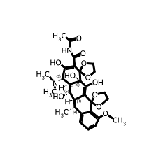 COc1cccc2c1C1(OCCO1)C1=C(O)[C@@]3(O)[C@@H]([C@@H](O)[C@@H]1[C@H]2C)[C@H](N(C)C)C(O)=C(C(=O)NC(C)=O)C31OCCO1